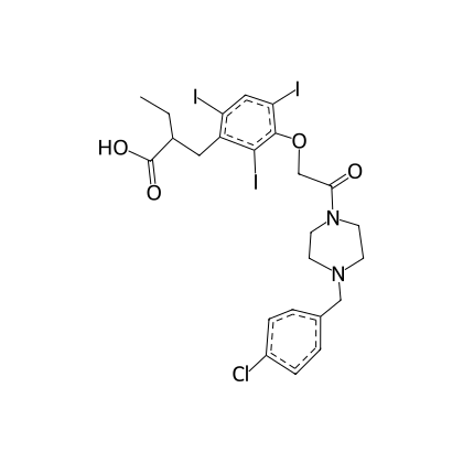 CCC(Cc1c(I)cc(I)c(OCC(=O)N2CCN(Cc3ccc(Cl)cc3)CC2)c1I)C(=O)O